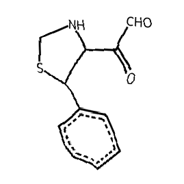 O=CC(=O)C1NCSC1c1ccccc1